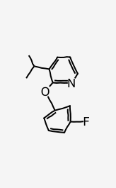 CC(C)c1cccnc1Oc1cccc(F)c1